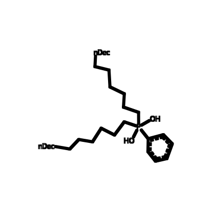 CCCCCCCCCCCCCCCCP(O)(O)(CCCCCCCCCCCCCCCC)c1ccccc1